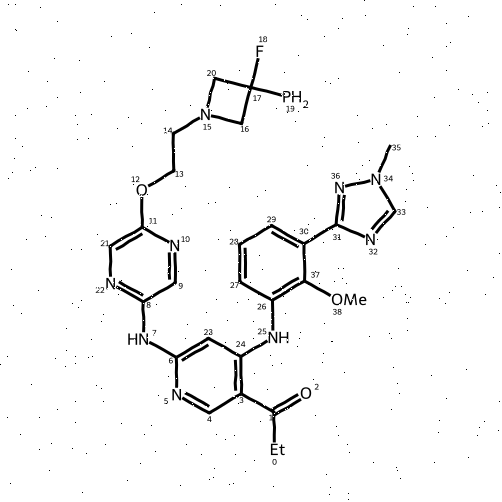 CCC(=O)c1cnc(Nc2cnc(OCCN3CC(F)(P)C3)cn2)cc1Nc1cccc(-c2ncn(C)n2)c1OC